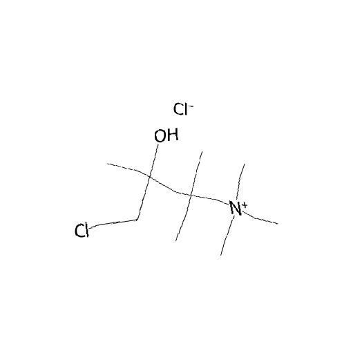 CC(O)(CCl)C(C)(C)[N+](C)(C)C.[Cl-]